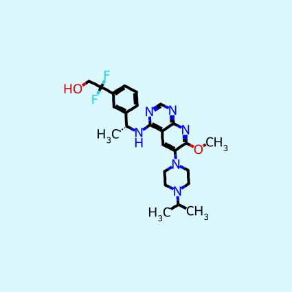 COc1nc2ncnc(N[C@H](C)c3cccc(C(F)(F)CO)c3)c2cc1N1CCN(C(C)C)CC1